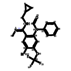 C/N=C(/NCC1CC1)c1cc(Br)c(OC(F)(F)F)cc1N(C=O)c1ccccc1